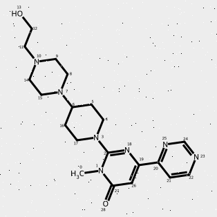 Cn1c(N2CCC(N3CCN(CCO)CC3)CC2)nc(-c2ccncn2)cc1=O